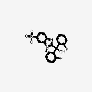 Cn1c(C(O)(c2ccccc2F)c2ccccc2F)nc2ccc(S(=O)(=O)Cl)cc21